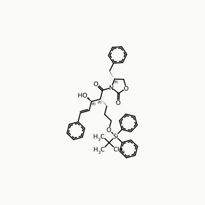 CC(C)(C)[Si](OCCC[C@@H](C(=O)N1C(=O)OC[C@H]1Cc1ccccc1)[C@H](O)C=Cc1ccccc1)(c1ccccc1)c1ccccc1